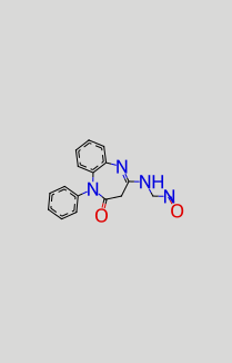 O=NCNC1=Nc2ccccc2N(c2ccccc2)C(=O)C1